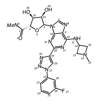 CNC(=O)[C@H]1OC(n2cnc3c(NC4CN(C)C4)nc(-c4cn(-c5cccc(F)c5)nn4)nc32)[C@H](O)[C@@H]1O